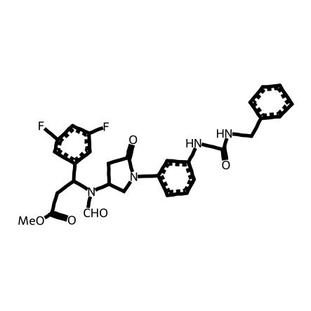 COC(=O)CC(c1cc(F)cc(F)c1)N(C=O)C1CC(=O)N(c2cccc(NC(=O)NCc3ccccc3)c2)C1